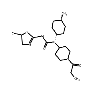 CCC(=O)N1CCC(N(C(=O)NC2=NCC(Cl)S2)[C@H]2CC[C@H](C)CC2)CC1